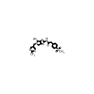 CC(C)[C@H]1c2nc(NC(=O)Cc3ccc(S(C)(=O)=O)cc3)sc2CN1Cc1cnc(C(F)(F)F)nc1